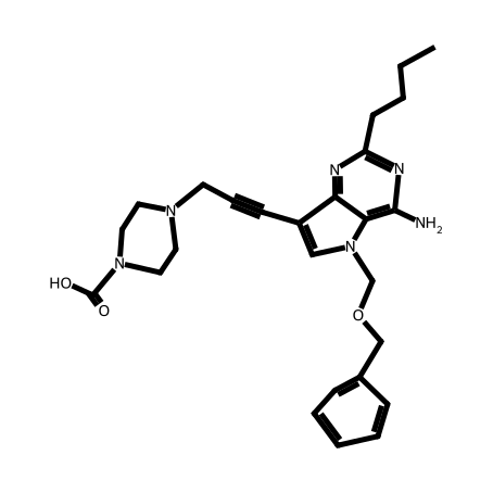 CCCCc1nc(N)c2c(n1)c(C#CCN1CCN(C(=O)O)CC1)cn2COCc1ccccc1